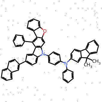 CC1(C)c2ccccc2-c2ccc(N(c3ccccc3)c3ccc(-n4c5ccc(-c6ccc7ccccc7c6)cc5c5c(-c6ccccc6)c6c(cc54)oc4ccccc46)cc3)cc21